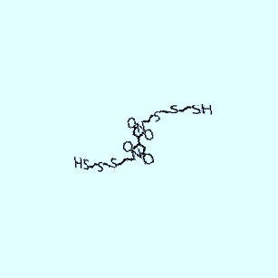 O=C1CC(C2CC(=O)N(CCCSCCSCCS)C2=O)C(=O)N1CCCSCCSCCS